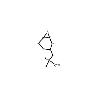 CO[Si](C)(C)CC1CCC2OC2C1